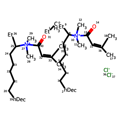 CCC.CCCCCCCCCCCCCCCC(CC)[N+](C)(C)C(=O)C=C(C)C.CCCCCCCCCCCCCCCC(CC)[N+](C)(C)C(=O)C=C(C)C.[Cl-].[Cl-]